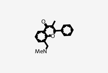 CNCc1cccc2c(=O)c(C)c(-c3ccccc3)oc12